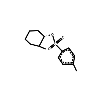 Cc1ccc(S(=O)(=O)O[C@H]2CCCCC2C)cc1